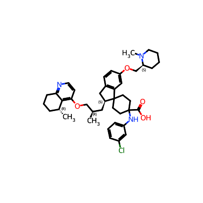 C[C@@H](COc1ccnc2c1[C@H](C)CCC2)C[C@H]1Cc2ccc(OC[C@@H]3CCCCN3C)cc2C12CCC(Nc1cccc(Cl)c1)(C(=O)O)CC2